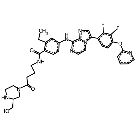 CCc1cc(Nc2nccn3c(-c4ccc(Oc5ccccn5)c(F)c4F)cnc23)ccc1C(=O)NCCCC(=O)N1CCN[C@H](CO)C1